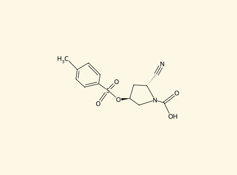 Cc1ccc(S(=O)(=O)O[C@H]2C[C@H](C#N)N(C(=O)O)C2)cc1